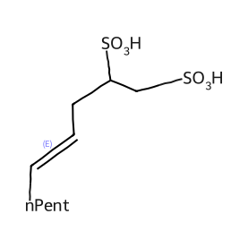 CCCCC/C=C/CC(CS(=O)(=O)O)S(=O)(=O)O